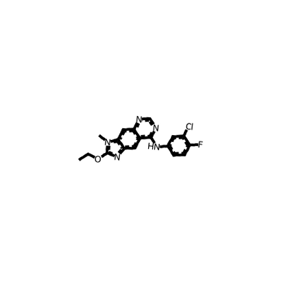 CCOc1nc2cc3c(Nc4ccc(F)c(Cl)c4)ncnc3cc2n1C